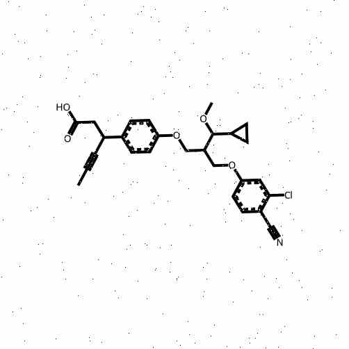 CC#CC(CC(=O)O)c1ccc(OCC(COc2ccc(C#N)c(Cl)c2)C(OC)C2CC2)cc1